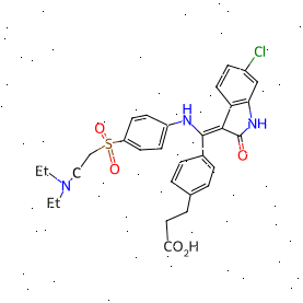 CCN(CC)CCS(=O)(=O)c1ccc(NC(=C2C(=O)Nc3cc(Cl)ccc32)c2ccc(CCC(=O)O)cc2)cc1